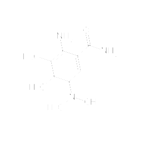 CC1=C(N)C(C(N)=O)=CC(N(C)C)C1C